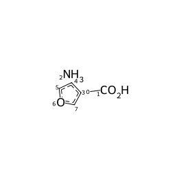 CC(=O)O.N.c1ccoc1